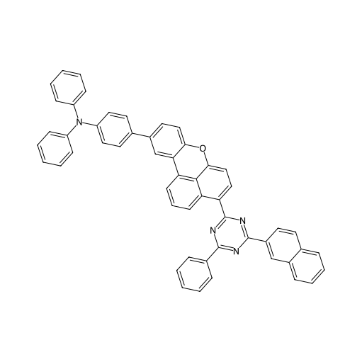 c1ccc(-c2nc(-c3ccc4ccccc4c3)nc(-c3ccc4c5c(cccc35)-c3cc(-c5ccc(N(c6ccccc6)c6ccccc6)cc5)ccc3O4)n2)cc1